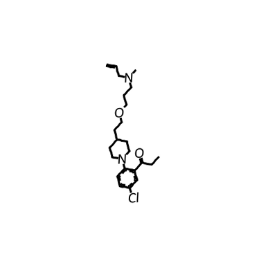 C=CCN(C)CCCOCCC1CCN(c2ccc(Cl)cc2C(=O)CC)CC1